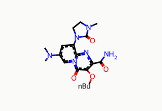 CCCCOc1c(C(N)=O)nc2c(N3CCN(C)C3=O)cc(N(C)C)cn2c1=O